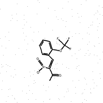 CC(=O)C(=Cc1ccccc1OC(F)(F)F)[N+](=O)[O-]